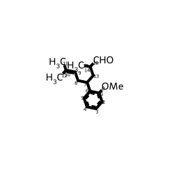 COc1ccccc1C(CC=C(C)C)CC(C)C=O